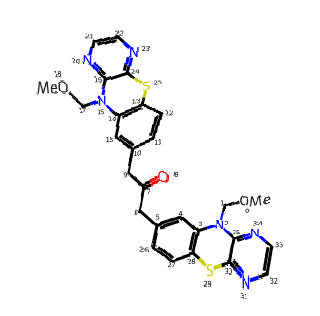 COCN1c2cc(CC(=O)Cc3ccc4c(c3)N(COC)c3nccnc3S4)ccc2Sc2nccnc21